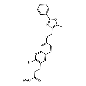 COC(=O)CCc1cc2ccc(OCc3nc(-c4ccccc4)oc3C)cc2nc1Br